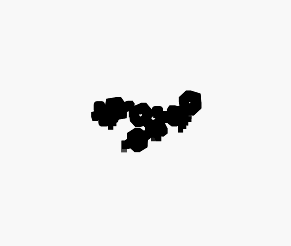 CS(=O)(=O)c1ccc(CN2CCC(c3c(C(=O)N4CC(C5C=CC=CC5)C(F)(F)C4)cnn3-c3ccc(F)cc3)CC2)cc1F